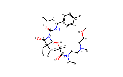 CCC[C@@H](NC(=O)N1C(=O)C(CC)(CC)[C@@H]1OC(C)(C)C(=O)N(CC)CCN(C)CCOC)c1ccc(C)cc1